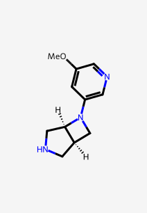 COc1cncc(N2C[C@H]3CNC[C@H]32)c1